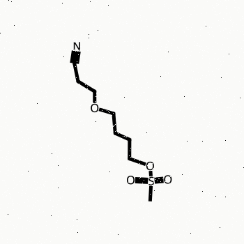 CS(=O)(=O)OCCCCOCCC#N